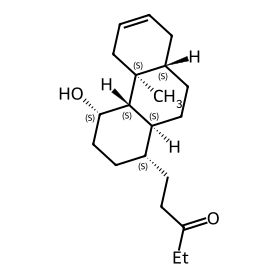 CCC(=O)CC[C@@H]1CC[C@H](O)[C@H]2[C@H]1CC[C@H]1CC=CC[C@@]12C